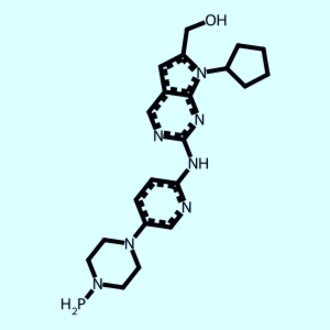 OCc1cc2cnc(Nc3ccc(N4CCN(P)CC4)cn3)nc2n1C1CCCC1